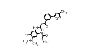 Cc1cc(-c2cccc(C(=O)CC(=O)Nc3cc(Cl)c(N(C)C)cc3NC(=O)OC(C)(C)C)c2)on1